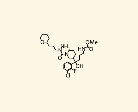 COC(=O)NCCCC(O)(c1cccc(Cl)c1F)C1CCCN(C(=O)N(N)CCCC2CCCCO2)C1